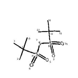 CC(C)(C)S(=O)(=O)SS(=O)(=O)C(C)(C)C